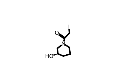 O=C(CI)N1CCC[C@@H](O)C1